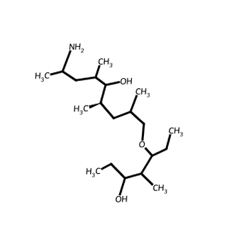 CCC(O)C(C)C(CC)OCC(C)C[C@@H](C)C(O)C(C)CC(C)N